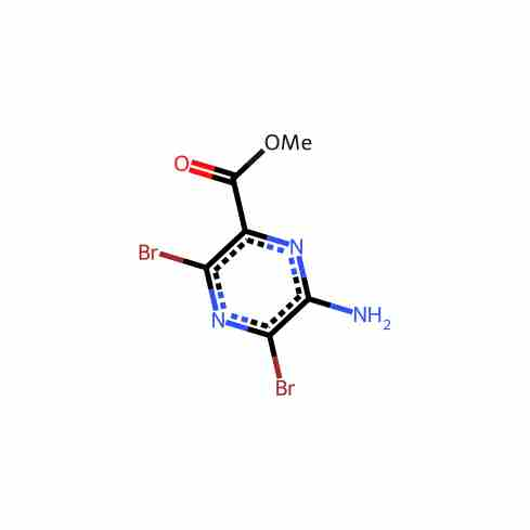 COC(=O)c1nc(N)c(Br)nc1Br